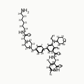 CCN(c1cc(-c2ccc(CN3CCN(CC(=O)NCCCCCCN)CC3)cc2)cc(C(=O)NCc2c(C)cc(C)[nH]c2=O)c1C)C1CCOCC1